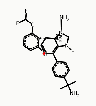 CC(C)(N)c1ccc(C2=C3N(F)CN4[C@@H](N)C[C@H](c5c(Cl)cccc5OC(F)F)C34CC=C2)cc1